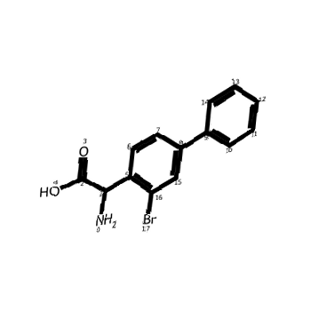 NC(C(=O)O)c1ccc(-c2ccccc2)cc1Br